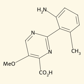 COc1cnc(-c2c(C)cccc2N)nc1C(=O)O